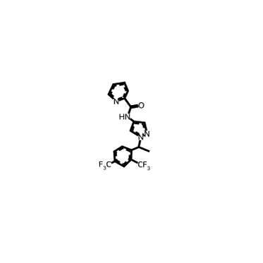 CC(c1ccc(C(F)(F)F)cc1C(F)(F)F)n1cc(NC(=O)c2ccccn2)cn1